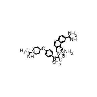 CC(=N)N1CCC(Oc2ccc(N(C)C(=O)N(Cc3ccc4ccc(C(=N)N)cc4c3)S(N)(=O)=O)cc2)CC1